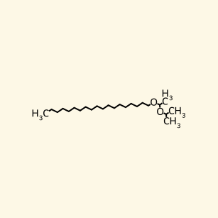 CCCCCCCCCCCCCCCCCCCOC(C)OC(C)C